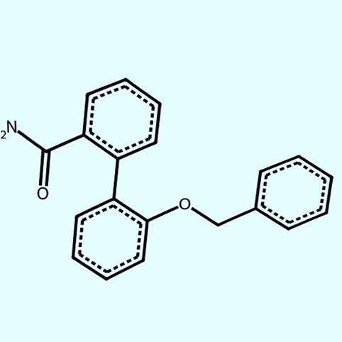 NC(=O)c1ccccc1-c1ccccc1OCc1ccccc1